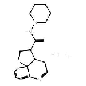 Cl.Cl.O=C(NN1CCCCC1)C1CSC23CC=CC=C2N=CCC13